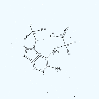 COc1c(N)ncc2cnn(CC(C)(F)F)c12.O=C(O)C(F)(F)F